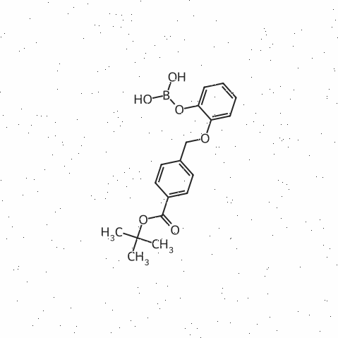 CC(C)(C)OC(=O)c1ccc(COc2ccccc2OB(O)O)cc1